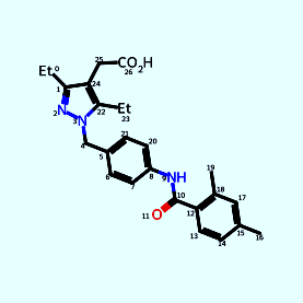 CCc1nn(Cc2ccc(NC(=O)c3ccc(C)cc3C)cc2)c(CC)c1CC(=O)O